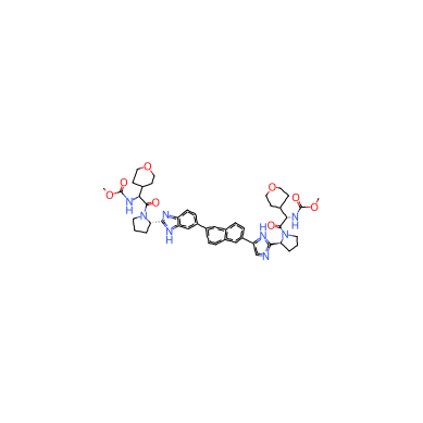 COC(=O)N[C@H](C(=O)N1CCC[C@H]1c1ncc(-c2ccc3cc(-c4ccc5nc([C@@H]6CCCN6C(=O)[C@@H](NC(=O)OC)C6CCOCC6)[nH]c5c4)ccc3c2)[nH]1)C1CCOCC1